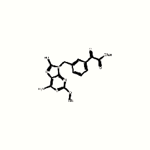 CCCCOc1nc(N)c2nc(O)n(Cc3cccc(C(=O)C(=O)OC)c3)c2n1